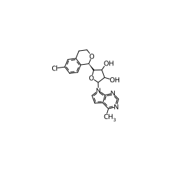 Cc1ncnc2c1ccn2C1OC([C@@H]2OCCc3cc(Cl)ccc32)C(O)C1O